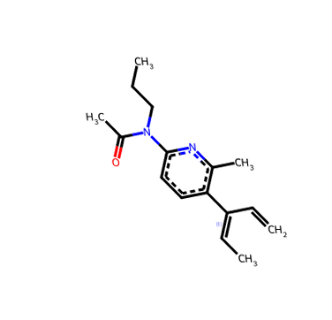 C=C/C(=C\C)c1ccc(N(CCC)C(C)=O)nc1C